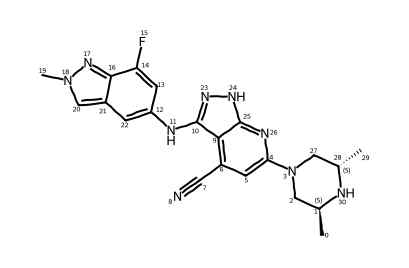 C[C@H]1CN(c2cc(C#N)c3c(Nc4cc(F)c5nn(C)cc5c4)n[nH]c3n2)C[C@H](C)N1